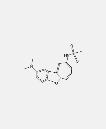 CN(C)c1ccc2c(c1)C1=CC(NS(C)(=O)=O)=CC=CC1O2